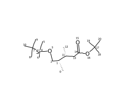 C[C@H](CO[Si](C)(C)C(C)(C)C)[C@H](C)CC(=O)OC(C)(C)C